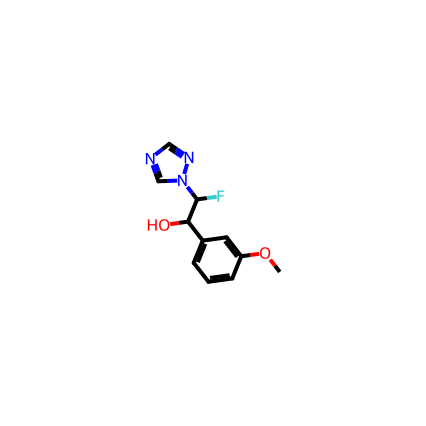 COc1cccc(C(O)C(F)n2cncn2)c1